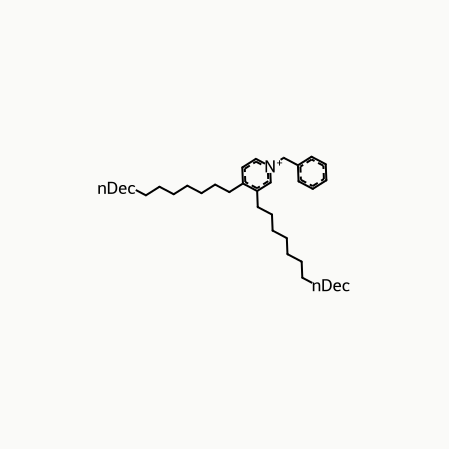 CCCCCCCCCCCCCCCCCc1cc[n+](Cc2ccccc2)cc1CCCCCCCCCCCCCCCCC